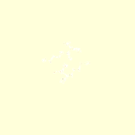 C=C(C)C(=O)OCCCCl.CC(=CCCCCl)C(=O)O